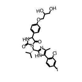 Cc1nc([C@H](C(C)C)N2C(=O)NC(c3ccc(OCC(O)CO)cc3)C2=O)[nH]c1-c1ccc(I)cc1Cl